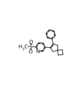 CS(=O)(=O)c1ccc(C2=C(c3ccccc3)CC3(CCC3)C2)cn1